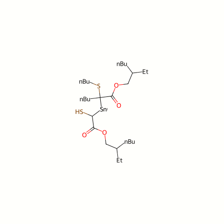 CCCCS[C](CCCC)([Sn][CH](S)C(=O)OCC(CC)CCCC)C(=O)OCC(CC)CCCC